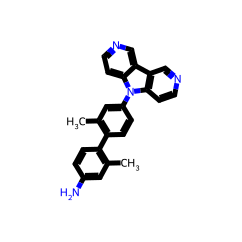 Cc1cc(N)ccc1-c1ccc(-n2c3ccncc3c3cnccc32)cc1C